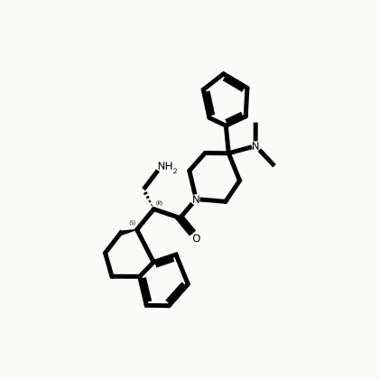 CN(C)C1(c2ccccc2)CCN(C(=O)[C@@H](CN)[C@@H]2CCCc3ccccc32)CC1